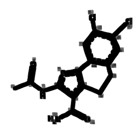 CC(=O)Nc1sc2c(c1C(N)=O)CCc1cc(Cl)c(Cl)cc1-2